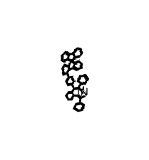 c1ccc(-c2cnn3c(-c4ccccc4)c(-c4ccc(-c5cccc6c5-c5ccccc5C65c6ccccc6-c6ccccc65)cc4)c4ccccc4c23)cc1